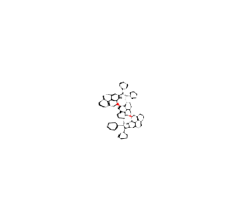 C1=Cc2ccc3c4c(cc5c(-c6ccccc6)c(-c6ccccc6)n(-c6ccc7ccc8c(-n9c(-c%10ccccc%10)c(-c%10ccccc%10)c%10cc%11c%12c%13c(ccc%12c%109)C=CCC%13=CC%11)ccc9ccc6c7c98)c53)CC=C(C1)c24